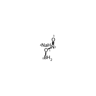 BON=O.[NaH]